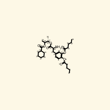 CCCCC(=O)Oc1ccc(C[C@H](N)C(=O)O[C@@H](C)C(C)OC(=O)C2CCCCC2)cc1OC(=O)CCCC